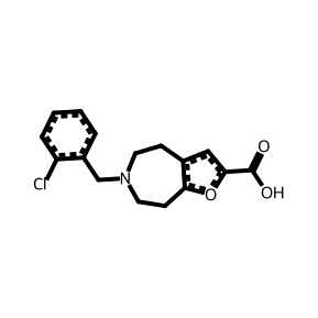 O=C(O)c1cc2c(o1)CCN(Cc1ccccc1Cl)CC2